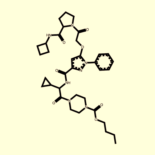 CCCCOC(=O)N1CCN(C(=O)C(NC(=O)c2cc(OCC(=O)N3CCCC3C(=O)NC3CCC3)n(-c3ccccc3)n2)C2CC2)CC1